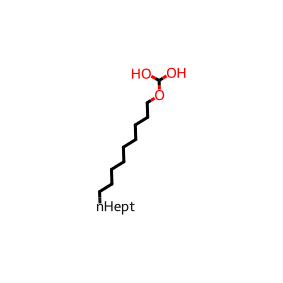 CCCCCCCCCCCCCCCCOC(O)O